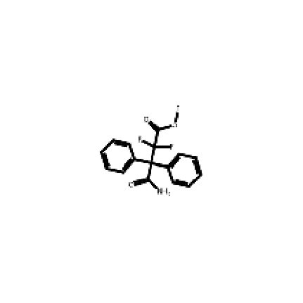 NC(=O)C(c1ccccc1)(c1ccccc1)C(F)(F)C(=O)OF